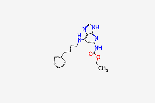 CCOC(=O)Nc1cc(NCCCCc2ccccc2)c2nc[nH]c2n1